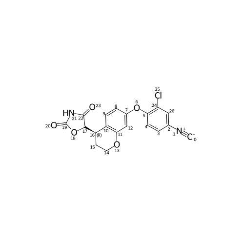 [C-]#[N+]c1ccc(Oc2ccc3c(c2)OCC[C@H]3C2OC(=O)NC2=O)c(Cl)c1